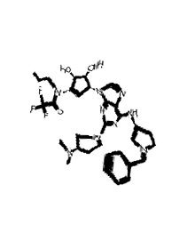 CCCN(C(=O)C(F)(F)F)[C@H]1C[C@@H](n2cnc3c(N[C@H]4CCN(Cc5ccccc5)C4)nc(N4CC[C@@H](N(C)C)C4)nc32)[C@H](O)[C@@H]1O